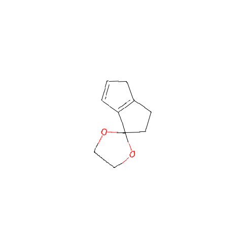 C1=CC2=C(C1)CCC21OCCO1